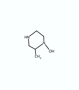 CC1CNCCN1O